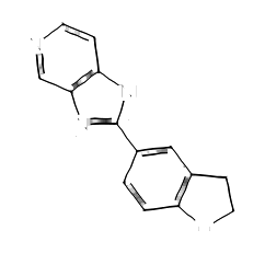 c1cc2[nH]c(-c3ccc4c(c3)CCO4)nc2cn1